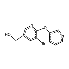 OCc1cnc(Oc2cccnc2)c(Br)c1